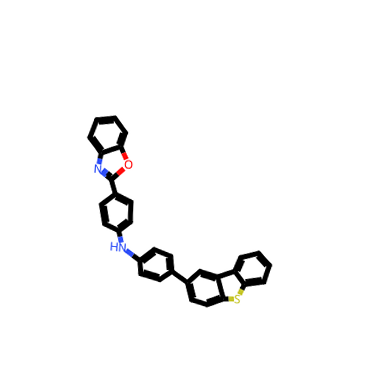 c1ccc2oc(-c3ccc(Nc4ccc(-c5ccc6sc7ccccc7c6c5)cc4)cc3)nc2c1